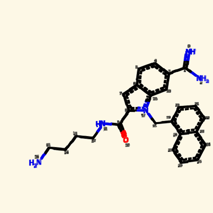 N=C(N)c1ccc2cc(C(=O)NCCCCN)n(Cc3cccc4ccccc34)c2c1